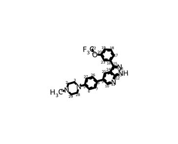 CN1CCN(c2ccc(-c3cnc4[nH]nc(-c5cccc(OC(F)(F)F)c5)c4c3)cc2)CC1